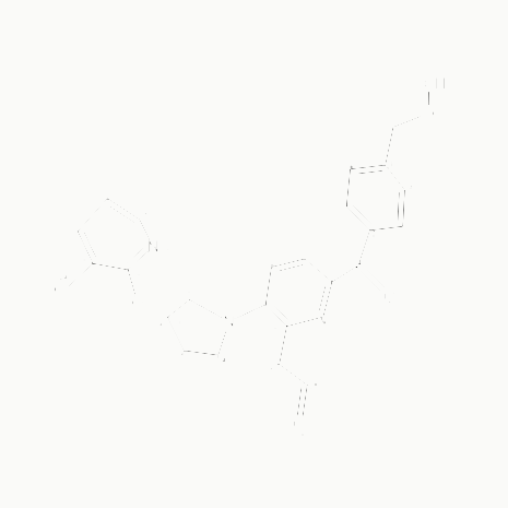 COCc1ccc(C(=O)c2ccc(N3CC[C@H](Oc4ncccc4Cl)C3)c(CC=O)c2)cc1